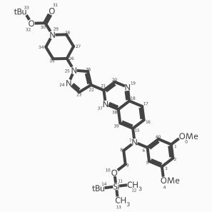 COc1cc(OC)cc(N(CCO[Si](C)(C)C(C)(C)C)c2ccc3ncc(-c4cnn(C5CCN(C(=O)OC(C)(C)C)CC5)c4)nc3c2)c1